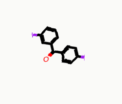 O=C(c1ccc(I)cc1)c1cccc(I)c1